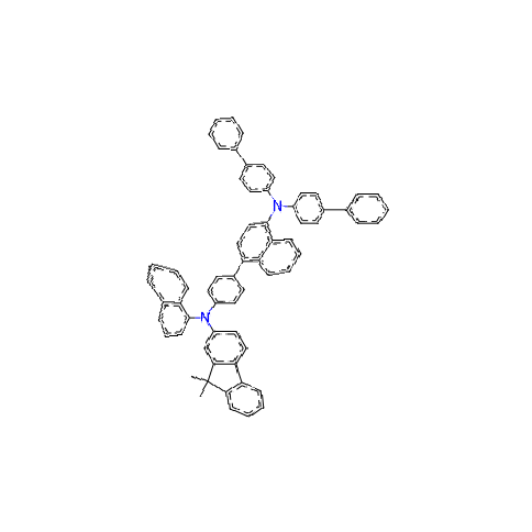 CC1(C)c2ccccc2-c2ccc(N(c3ccc(-c4ccc(N(c5ccc(-c6ccccc6)cc5)c5ccc(-c6ccccc6)cc5)c5ccccc45)cc3)c3cccc4ccccc34)cc21